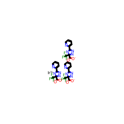 O=C([O-])C1(C(F)(F)F)N=NC(c2ccccn2)=N1.O=C([O-])C1(C(F)(F)F)N=NC(c2ccccn2)=N1.O=C([O-])C1(C(F)(F)F)N=NC(c2ccccn2)=N1.[Ir+3]